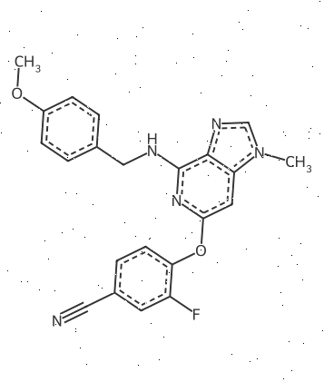 COc1ccc(CNc2nc(Oc3ccc(C#N)cc3F)cc3c2ncn3C)cc1